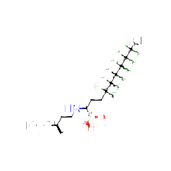 C=C(CCNC(CCC(F)(F)C(F)(F)C(F)(F)C(F)(F)C(F)(F)C(F)(F)C(F)(F)F)[SH](=O)=O)C(=O)O